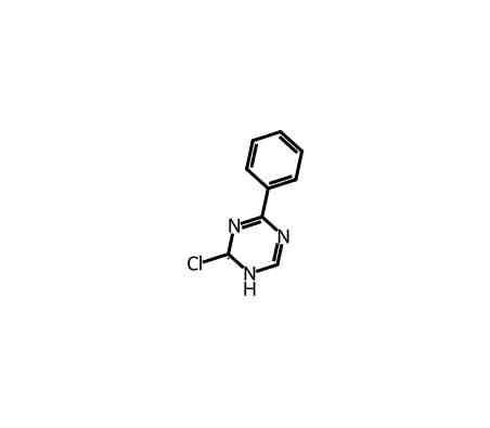 Cl[C]1N=C(c2ccccc2)N=CN1